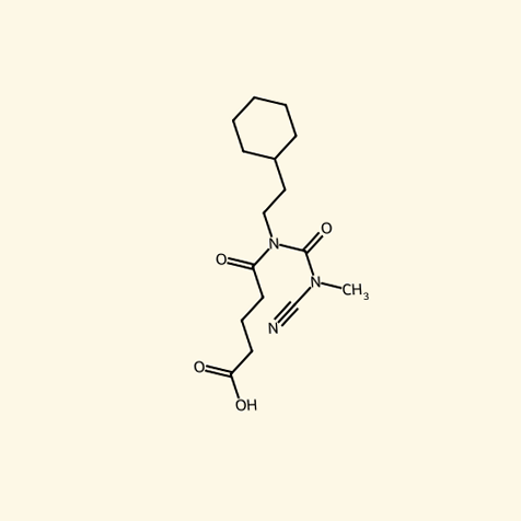 CN(C#N)C(=O)N(CCC1CCCCC1)C(=O)CCCC(=O)O